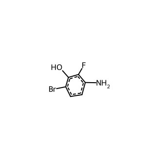 Nc1ccc(Br)c(O)c1F